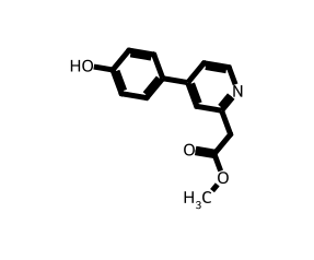 COC(=O)Cc1cc(-c2ccc(O)cc2)ccn1